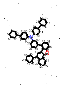 c1ccc(-c2ccc(N(c3ccc(-c4ccccc4)cc3)c3cccc(-c4cccc5oc6c7ccccc7c(-c7ccccc7)cc6c45)c3)cc2)cc1